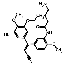 CCOc1cc(C(=CC#N)c2ccc(OC)c(NC(=O)CCCN)c2)ccc1OC.Cl